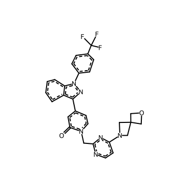 O=c1cc(-c2nn(-c3ccc(C(F)(F)F)cc3)c3ccccc23)ccn1Cc1nccc(N2CC3(COC3)C2)n1